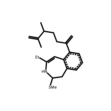 C=C(CCC(C)C(=C)C)c1cccc2c1C=C(CC)NC(SC)C2